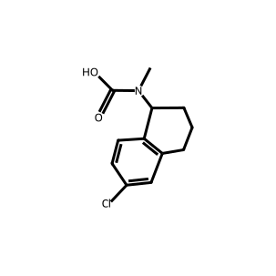 CN(C(=O)O)C1CCCc2cc(Cl)ccc21